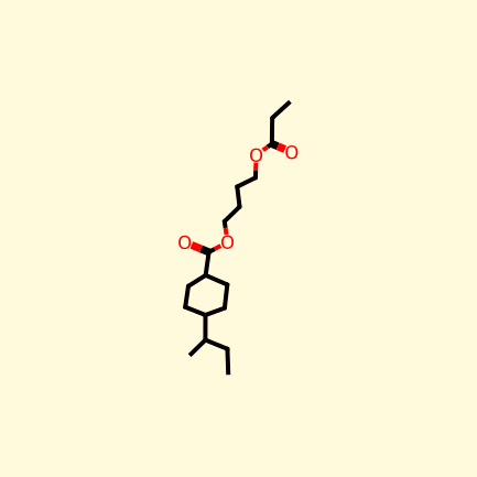 CCC(=O)OCCCCOC(=O)C1CCC(C(C)CC)CC1